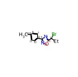 CCC(Br)c1nc(-c2ccc(C)cc2)no1